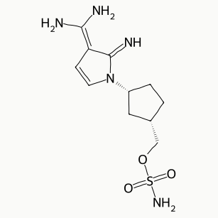 N=C1C(=C(N)N)C=CN1[C@@H]1CC[C@H](COS(N)(=O)=O)C1